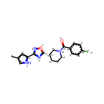 Cc1c[nH]c(-c2noc([C@H]3CCCN(C(=O)c4ccc(F)cc4)C3)n2)c1